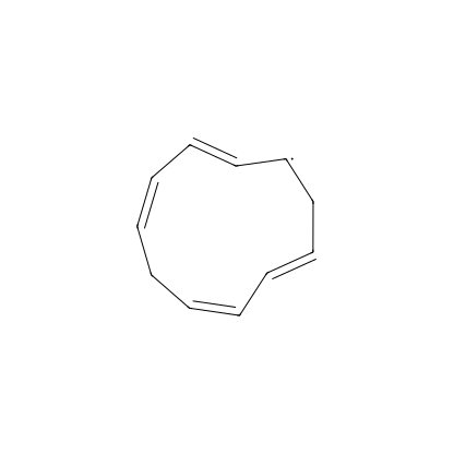 [CH]1/C=C/C=C\C/C=C\C=C\C1